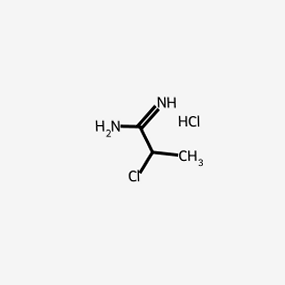 CC(Cl)C(=N)N.Cl